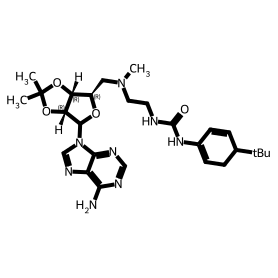 CN(CCNC(=O)NC1=CCC(C(C)(C)C)C=C1)C[C@H]1OC(n2cnc3c(N)ncnc32)[C@@H]2OC(C)(C)O[C@H]12